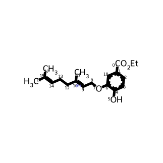 CCOC(=O)c1ccc(O)c(OC/C=C(\C)CCC=C(C)C)c1